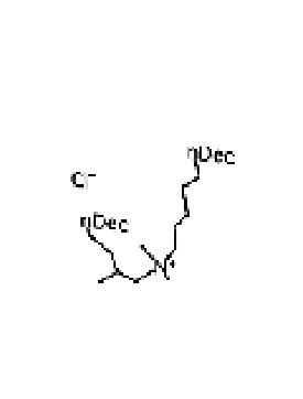 CCCCCCCCCCCCCCC[N+](C)(C)CC(C)CCCCCCCCCCCC.[Cl-]